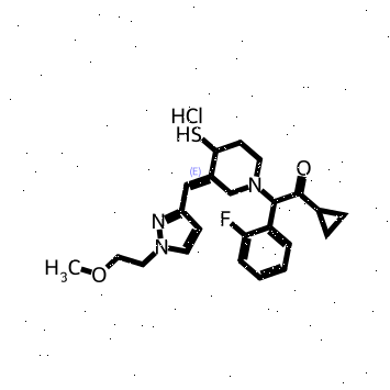 COCCn1ccc(/C=C2\CN(C(C(=O)C3CC3)c3ccccc3F)CCC2S)n1.Cl